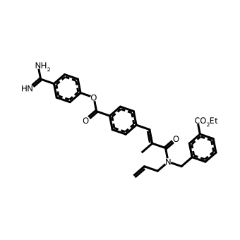 C=CCN(Cc1cccc(C(=O)OCC)c1)C(=O)/C(C)=C/c1ccc(C(=O)Oc2ccc(C(=N)N)cc2)cc1